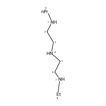 CCCNCCNCCNCC